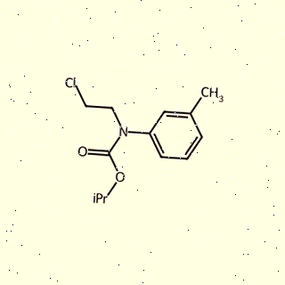 Cc1cccc(N(CCCl)C(=O)OC(C)C)c1